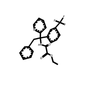 CCOC(=O)C(=O)NC(Cc1ccccc1)(c1cccc(C(F)(F)F)c1)c1ccccn1